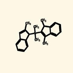 CC1=Cc2ccccc2C1S(C)(C)C1=C(C)c2ccccc2C1C